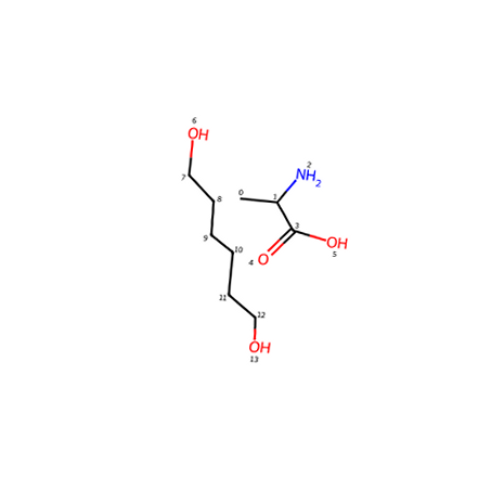 CC(N)C(=O)O.OCCCCCCO